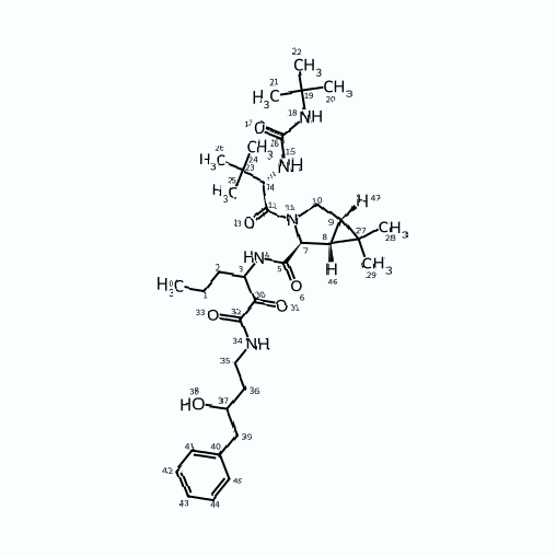 CCCC(NC(=O)[C@@H]1[C@@H]2[C@H](CN1C(=O)[C@@H](NC(=O)NC(C)(C)C)C(C)(C)C)C2(C)C)C(=O)C(=O)NCCC(O)Cc1ccccc1